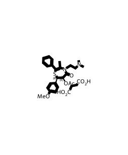 COc1ccc([C@H]2SC(c3ccccc3)=C(C)N(CCN(C)C)C(=O)[C@H]2OC(C)=O)cc1.O=C(O)CCC(=O)O